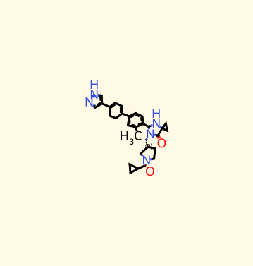 Cc1cc(C2=CC=C(c3cn[nH]c3)CC2)ccc1C1NC2(CC2)C(=O)N1C[C@@H]1CCN(C(=O)C2CC2)C1